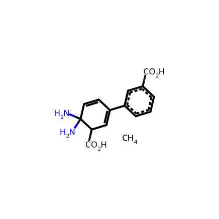 C.NC1(N)C=CC(c2cccc(C(=O)O)c2)=CC1C(=O)O